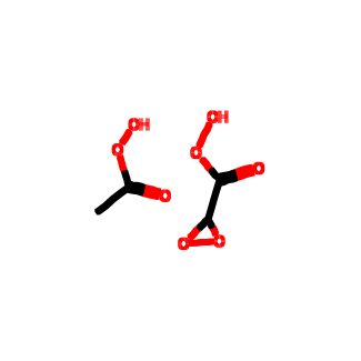 CC(=O)OO.O=C(OO)C1OO1